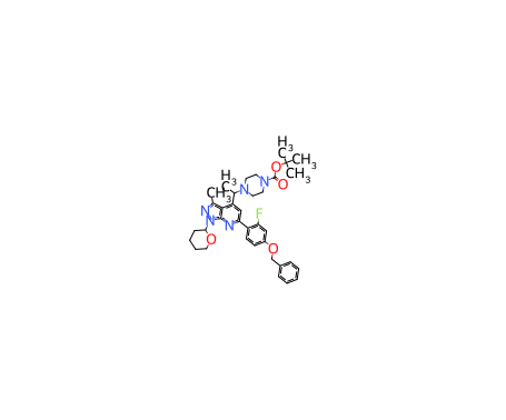 Cc1nn(C2CCCCO2)c2nc(-c3ccc(OCc4ccccc4)cc3F)cc(C(C)N3CCN(C(=O)OC(C)(C)C)CC3)c12